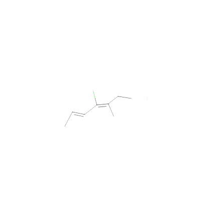 C/C=C/C(Cl)=C(/CC(=O)O)C(=O)OCC